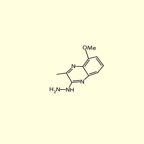 COc1cccc2nc(NN)c(C)nc12